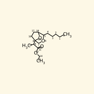 CCCCCC1OCC2(C(C)C(=O)OCC)CCC1O2